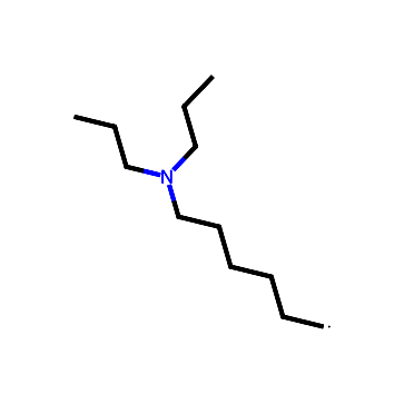 [CH2]CCCCCN(CCC)CCC